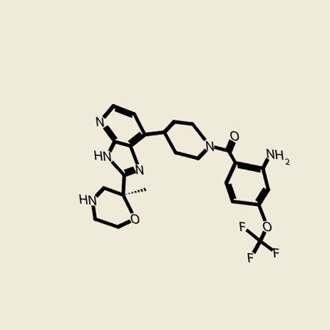 C[C@@]1(c2nc3c(C4CCN(C(=O)c5ccc(OC(F)(F)F)cc5N)CC4)ccnc3[nH]2)CNCCO1